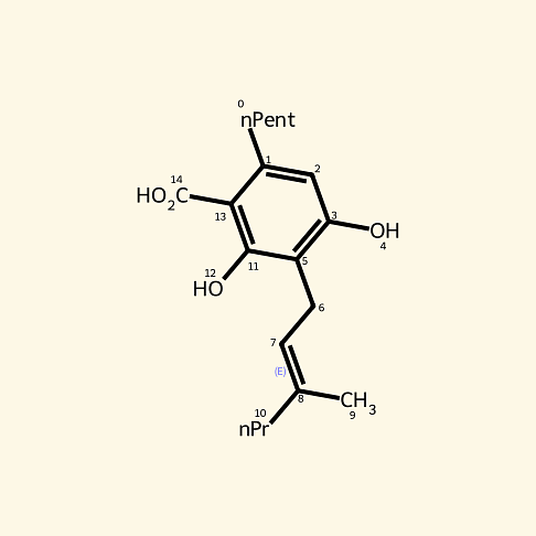 CCCCCc1cc(O)c(C/C=C(\C)CCC)c(O)c1C(=O)O